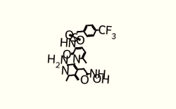 C=C1C(CC(=O)NO)=C(n2c(C)ccc(NS(=O)(=O)Cc3ccc(C(F)(F)F)cc3)c2=O)C(N)=NC1C